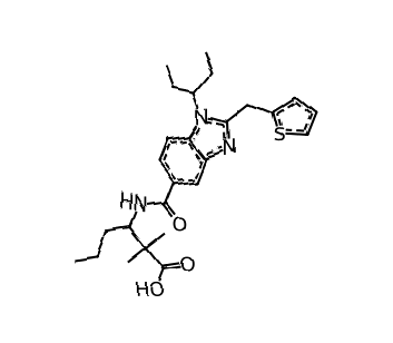 CCCC(NC(=O)c1ccc2c(c1)nc(Cc1cccs1)n2C(CC)CC)C(C)(C)C(=O)O